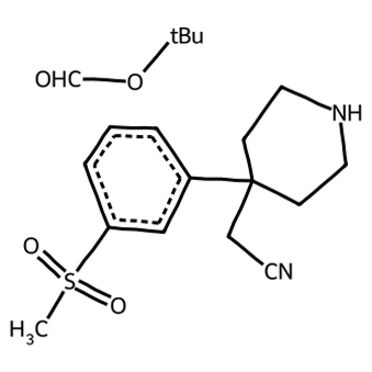 CC(C)(C)OC=O.CS(=O)(=O)c1cccc(C2(CC#N)CCNCC2)c1